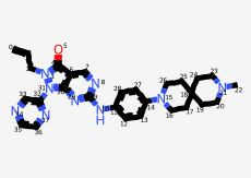 C=CCn1c(=O)c2cnc(Nc3ccc(N4CCC5(CCN(C)CC5)CC4)cc3)nc2n1-c1cnccn1